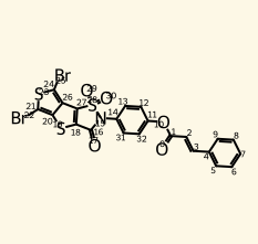 O=C(C=Cc1ccccc1)Oc1ccc(N2C(=O)c3sc4c(Br)sc(Br)c4c3S2(=O)=O)cc1